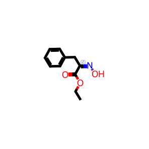 CCOC(=O)/C(Cc1ccccc1)=N\O